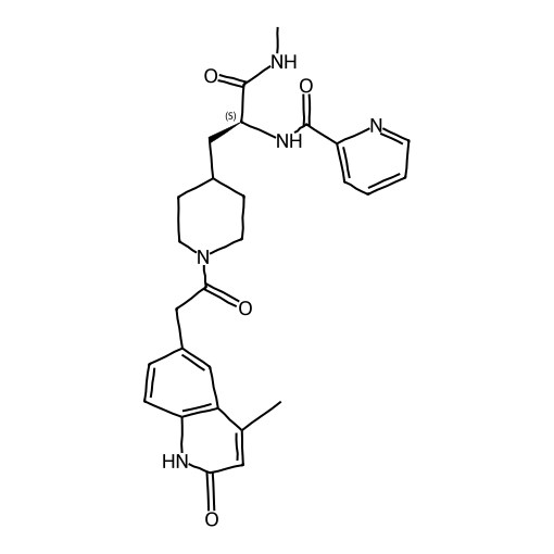 CNC(=O)[C@H](CC1CCN(C(=O)Cc2ccc3[nH]c(=O)cc(C)c3c2)CC1)NC(=O)c1ccccn1